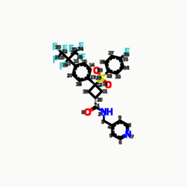 O=C(NCc1ccncc1)[C@H]1C[C@@](c2ccc(C(F)(C(F)(F)F)C(F)(F)F)cc2)(S(=O)(=O)c2ccc(F)cc2)C1